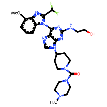 COc1cccc2c1nc(C(F)F)n2-c1nc(NCCO)nc2c1ncn2C1CCN(C(=O)N2CCN(C)CC2)CC1